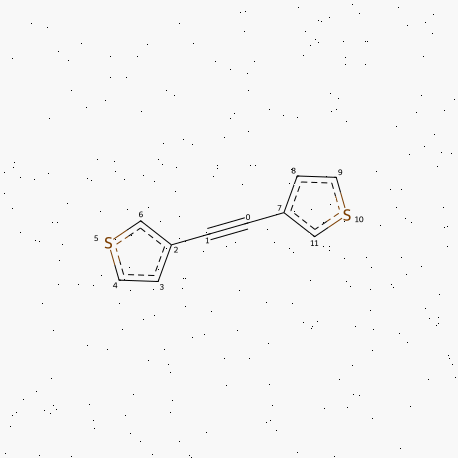 C(#Cc1ccsc1)c1ccsc1